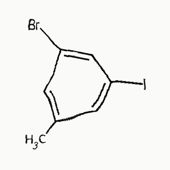 Cc1cc(Br)cc(I)c1